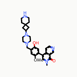 COc1cc(CN2CCN(C3CC4(CCNCC4)C3)CC2)c(O)cc1-c1cn(C)c(=O)c2cnccc12